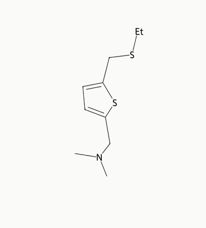 [CH2]CSCc1ccc(CN(C)C)s1